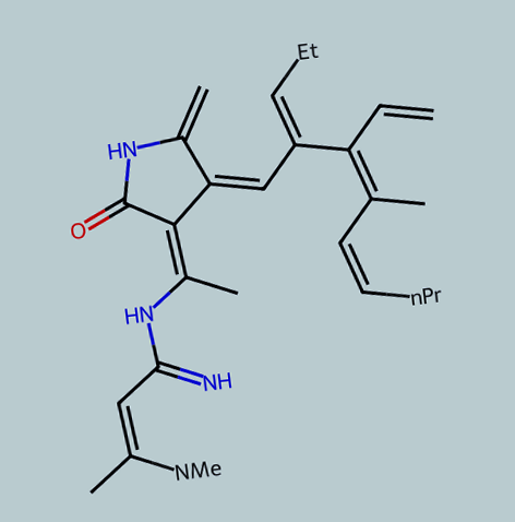 C=CC(=C(C)/C=C\CCC)C(=C\CC)/C=C1\C(=C)NC(=O)\C1=C(\C)NC(=N)/C=C(/C)NC